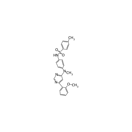 COc1ccccc1-c1cc(N(C)c2ccc(NS(=O)(=O)c3ccc(C)cc3)cc2)ncn1